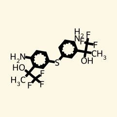 CC(O)(c1cc(Sc2ccc(N)c(C(C)(O)C(F)(F)F)c2)ccc1N)C(F)(F)F